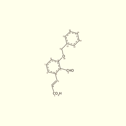 O=Cc1c(C=CC(=O)O)cccc1OCc1ccccc1